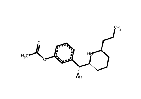 CCC[C@H]1CCC[C@H]([C@H](O)c2cccc(OC(C)=O)c2)N1